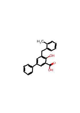 Cc1ccccc1Cc1cc(-c2ccccc2)cc(C(=O)O)c1O